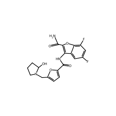 NC(=O)c1oc2c(F)cc(F)cc2c1NC(=O)c1ccc(CN2CCCC2O)o1